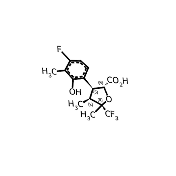 Cc1c(F)ccc([C@H]2[C@H](C(=O)O)O[C@@](C)(C(F)(F)F)[C@H]2C)c1O